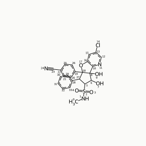 CNS(=O)(=O)C1C(O)C2(O)c3ncc(Cl)cc3OC2(c2ccc(C#N)cc2)C1c1ccccc1